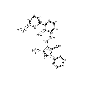 CC1=NN(c2ccccc2)C(=O)C1=NNc1cccc(-c2cccc(C(=O)O)c2)c1O